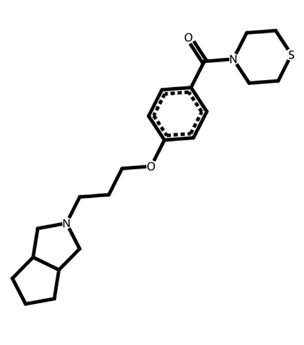 O=C(c1ccc(OCCCN2CC3CCCC3C2)cc1)N1CCSCC1